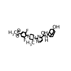 C[C@@H]1CN(c2c(F)cc(S(C)(=O)=O)cc2F)CCN1c1nccc(C(=O)N[C@H]2C3CC4CC2C[C@](O)(C4)C3)n1